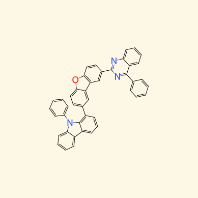 c1ccc(-c2nc(-c3ccc4oc5ccc(-c6cccc7c8ccccc8n(-c8ccccc8)c67)cc5c4c3)nc3ccccc23)cc1